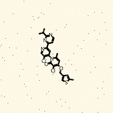 Cc1cc(COc2cc(C)n(-c3cc(-c4ccnc(C(C)C)n4)ncc3Cl)c(=O)c2Cl)cs1